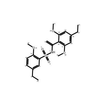 C=C(NS(=O)(=O)c1cc(CC)ccc1OC)c1c(OC)cc(CC)cc1OC